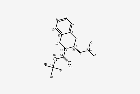 CN(C)C[C@@H]1Cc2ccccc2CN1C(=O)OC(C)(C)C